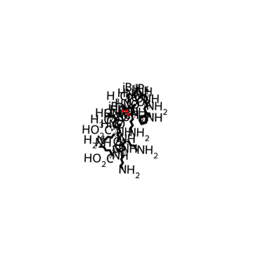 CC[C@H](C)[C@H](NC(=O)[C@H](CC(C)C)NC(=O)[C@@H](N)Cc1c[nH]c2ccccc12)C(=O)N[C@@H](C)C(=O)N[C@H](C(=O)N[C@@H](CCCCN)C(=O)N[C@H](C(=O)N[C@H](C(=O)N[C@@H](CC(=O)O)C(=O)N[C@@H](CCCCN)C(=O)N[C@@H](CCCCN)C(=O)N[C@@H](CCCCN)C(=O)N[C@@H](CCCCN)C(=O)O)[C@@H](C)O)[C@@H](C)CC)[C@@H](C)O